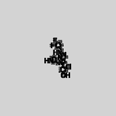 Oc1ccc(-c2cc3cnc(NCc4ccc(F)c(F)c4)nc3n2CC2CCCNC2)c(Cl)c1